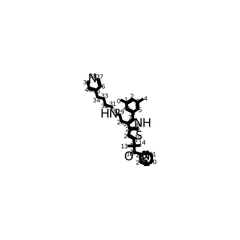 Cc1cc(C)cc(-c2[nH]c3sc(C(C)(C)C(=O)N4CC5CCC4CC5)cc3c2CCNCCCCc2ccncc2)c1